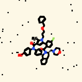 Cc1c(C(=O)N(c2ccccc2)c2ccc(O)cc2)cc(-c2cc(F)ccc2C(=O)N2Cc3ccccc3C[C@H]2CN2CCOCC2)n1CCCOCc1ccccc1